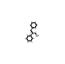 O=C/C(=C\c1ccccc1)c1ccccc1